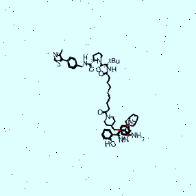 Cc1ncsc1-c1ccc(CNC(=O)[C@@H]2CCCN2C(=O)[C@@H](NC(=O)CCCCCCCC(=O)N2CCC(Cc3cccc(N4C5CCC4CN(c4cc(-c6ccccc6O)nnc4N)C5)c3)CC2)C(C)(C)C)cc1